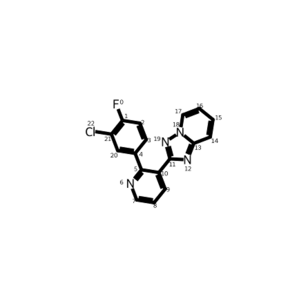 Fc1ccc(-c2ncccc2-c2nc3ccccn3n2)cc1Cl